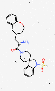 CS(=O)(=O)N1CC2(CCN(C(=O)[C@H](N)CC3CCOc4ccccc4C3)CC2)c2ccccc21